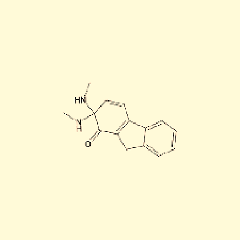 CNC1(NC)C=CC2=C(Cc3ccccc32)C1=O